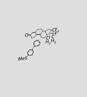 CSc1ccc(-c2ccc([C@H]3C[C@@]4(C)C(CC[C@@]4(I)C(C)(F)C(F)(F)F)C4CCC5=CC(=O)CCC5=C43)cc2)cc1